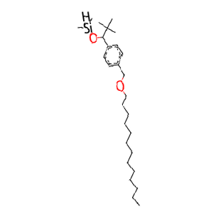 CCCCCCCCCCCCCOCc1ccc(C(O[SiH](C)C)C(C)(C)C)cc1